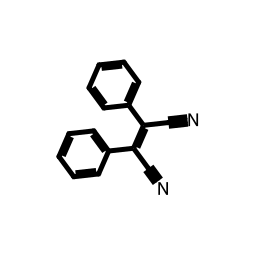 N#C/C(=C(\C#N)c1ccccc1)c1ccccc1